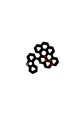 c1ccc2c(c1)ccc1c2ccc2ccc3cccc(-c4nc5ccccc5nc4-c4cccc5oc6ccccc6c45)c3c21